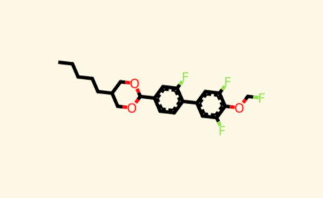 CCCCCC1COC(c2ccc(-c3cc(F)c(OCF)c(F)c3)c(F)c2)OC1